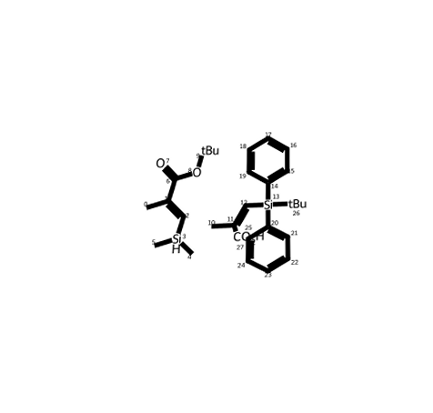 CC(=C[SiH](C)C)C(=O)OC(C)(C)C.CC(=C[Si](c1ccccc1)(c1ccccc1)C(C)(C)C)C(=O)O